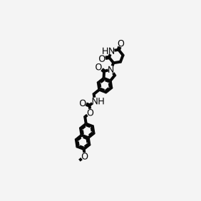 COc1ccc2cc(COC(=O)NCc3ccc4c(c3)C(=O)N(C3CCC(=O)NC3=O)C4)ccc2c1